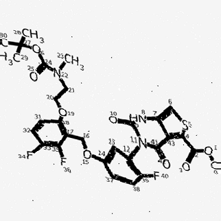 COC(=O)c1scc2[nH]c(=O)n(-c3cc(OCc4c(OCCN(C)C(=O)OC(C)(C)C)ccc(F)c4F)ccc3F)c(=O)c12